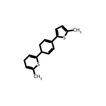 CC1=CCC=C(C2C=CC(c3ccc(C)s3)=CC2)S1